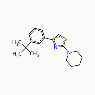 CC(C)(C)c1cccc(-c2csc(N3CCCCC3)n2)c1